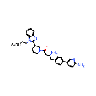 CC(=O)NCCn1c(C2CCCN(C(=O)CC(N)Cc3ccc(-c4ccc(N)nc4)cc3)C2)nc2ccccc21